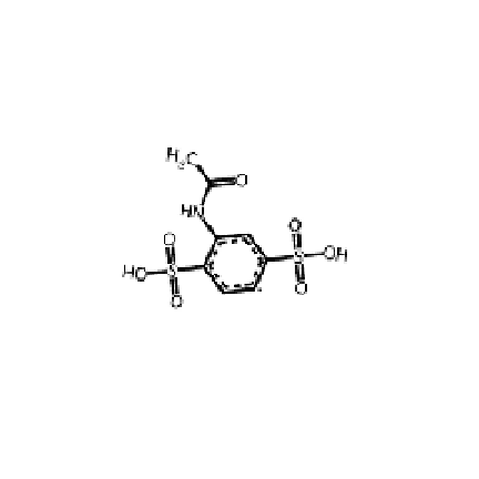 CC(=O)Nc1cc(S(=O)(=O)O)[c]cc1S(=O)(=O)O